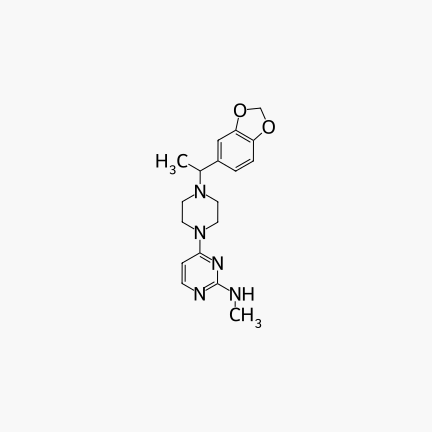 CNc1nccc(N2CCN(C(C)c3ccc4c(c3)OCO4)CC2)n1